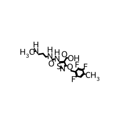 CNCCCNC(=O)Nc1snc(OCc2c(F)cc(C)c(F)c2F)c1C(=O)O